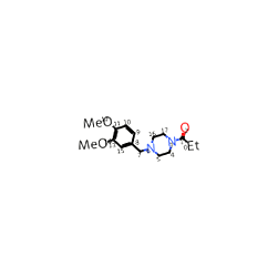 CCC(=O)N1CCN(Cc2ccc(OC)c(OC)c2)CC1